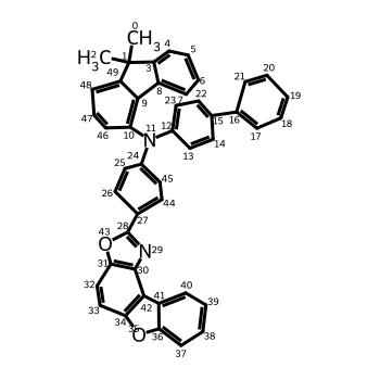 CC1(C)c2ccccc2-c2c(N(c3ccc(-c4ccccc4)cc3)c3ccc(-c4nc5c(ccc6oc7ccccc7c65)o4)cc3)cccc21